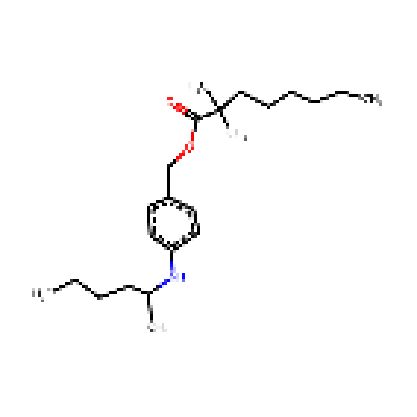 CCCCCCC(C)(C)C(=O)OCc1ccc(NC(C)CCCC)cc1